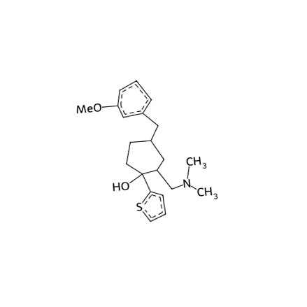 COc1cccc(CC2CCC(O)(c3cccs3)C(CN(C)C)C2)c1